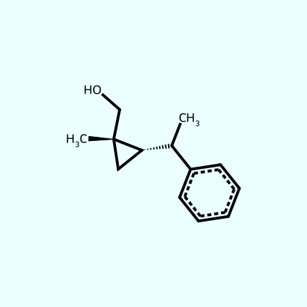 CC(c1ccccc1)[C@@H]1C[C@]1(C)CO